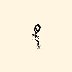 O=S(=O)(NCO)C1CC2C=CC1C2